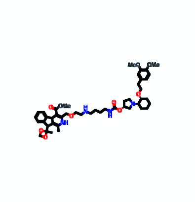 COC(=O)C1=C(COCCNCCCCNC(=O)O[C@@H]2CCN([C@@H]3CCCC[C@H]3OCCc3ccc(OC)c(OC)c3)C2)NC(C)=C2C1c1ccccc1C2C1(C)OCO1